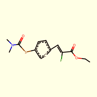 CCOC(=O)C(F)=Cc1ccc(SC(=O)N(C)C)cc1